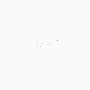 NC1=N[C@@]2(c3nc(NC(=O)c4ccc(OC(F)I)cn4)cs3)CO[C@@H](C(F)(F)F)C[C@H]2CO1